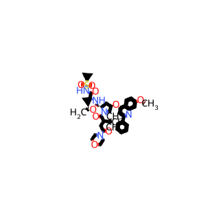 C=C[C@@H]1C[C@]1(NC(=O)[C@@H]1C[C@@H](Oc2cc(-c3ccccc3)nc3cc(OC)ccc23)CN1C(=O)C(CC(=O)N1CCOCC1)C(C)(C)C)C(=O)NS(=O)(=O)C1CC1